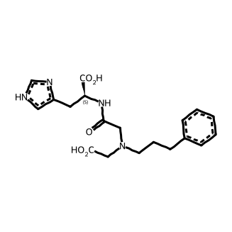 O=C(O)CN(CCCc1ccccc1)CC(=O)N[C@@H](Cc1c[nH]cn1)C(=O)O